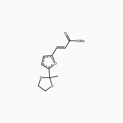 COC(=O)C=Cc1ccc(C2(C)OCCO2)o1